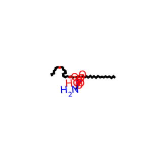 CCCCC/C=C\C/C=C\C/C=C\C/C=C\CCCCOC(COC(=O)CCCCCCCCCCCCCCCCC)COP(=O)(O)OCCN